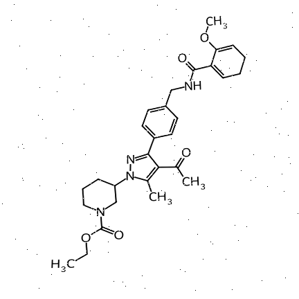 CCOC(=O)N1CCCC(n2nc(-c3ccc(CNC(=O)C4=CCCC=C4OC)cc3)c(C(C)=O)c2C)C1